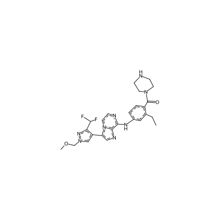 CCc1cc(Nc2nccn3c(-c4cn(COC)nc4C(F)F)cnc23)ccc1C(=O)N1CCNCC1